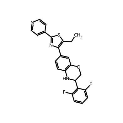 CCc1sc(-c2ccncc2)nc1-c1ccc2c(c1)OCC(c1c(F)cccc1F)N2